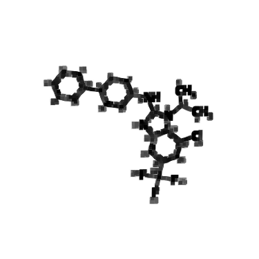 CC(C)n1c(Nc2ccc(-c3ccccc3)cc2)nc2cc(C(F)(F)F)cc(Cl)c21